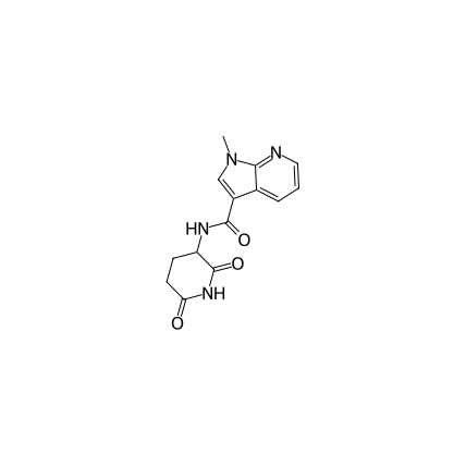 Cn1cc(C(=O)NC2CCC(=O)NC2=O)c2cccnc21